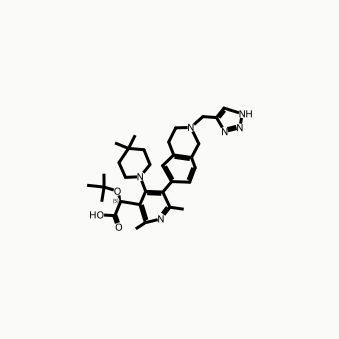 Cc1nc(C)c([C@H](OC(C)(C)C)C(=O)O)c(N2CCC(C)(C)CC2)c1-c1ccc2c(c1)CCN(Cc1c[nH]nn1)C2